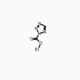 CCOC(=O)n1n[c]nn1